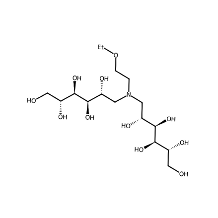 CCOCCN(C[C@@H](O)[C@@H](O)[C@H](O)[C@H](O)CO)C[C@@H](O)[C@@H](O)[C@H](O)[C@H](O)CO